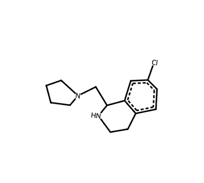 Clc1ccc2c(c1)C(CN1CCCC1)NCC2